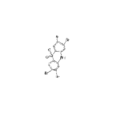 O=S1(=O)c2cc(Br)c(Br)cc2Nc2cc(Br)c(Br)cc21